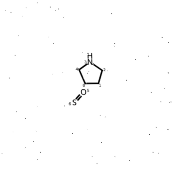 C1CCNC1.O=S